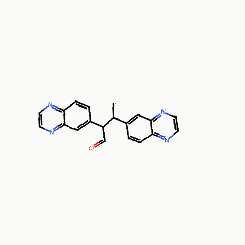 [CH2]C(c1ccc2nccnc2c1)C(C=O)c1ccc2nccnc2c1